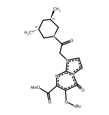 CCCCOc1c(C(=O)OC)nc2n(CC(=O)N3C[C@H](C)C[C@@H](C)C3)ccn2c1=O